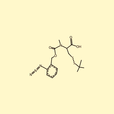 CN(C(=O)OCc1ccccc1N=[N+]=[N-])C(CSSC(C)(C)C)C(=O)O